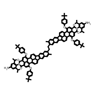 Cc1cc2cc3c(cc2cc1CCc1cc2cc4c(cc2cc1C)-c1ccc2c5c(Oc6ccc(C(C)(C)C)cc6)cc6c7c(cc(Oc8ccc(C(C)(C)C)cc8)c(c8ccc-4c1c28)c75)C(=O)N(c1c(C(C)C)cc(N)cc1C(C)C)C6=O)C1=CC=C2c4c(Oc5ccc(C(C)(C)C)cc5)cc5c6c(cc(Oc7ccc(C(C)(C)C)cc7)c(c46)C4=CC=C3C1C42)C(=O)N(c1c(C(C)C)cc(N)cc1C(C)C)C5=O